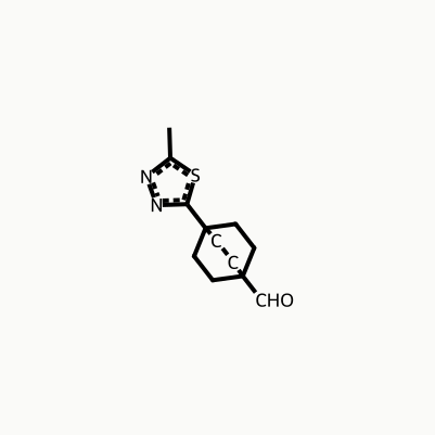 Cc1nnc(C23CCC(C=O)(CC2)CC3)s1